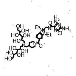 CCn1c(CNC(=O)c2nc(Cl)c(N)nc2N)[n+](CC)c2ccc(C(=O)N3CCC(CN(CC(O)C(O)C(O)C(O)CO)CC(O)C(O)C(O)C(O)CO)CC3)cc21